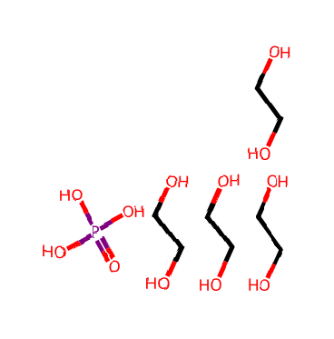 O=P(O)(O)O.OCCO.OCCO.OCCO.OCCO